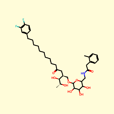 Cc1ccccc1CC(=O)NCC1OC(OC[C@H](CC(=O)CCCCCCCCCCc2ccc(F)c(F)c2)[C@H](O)[C@@H](C)O)C(O)C(O)C1O